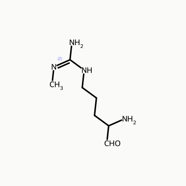 C/N=C(/N)NCCCC(N)C=O